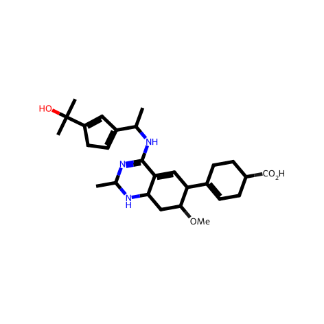 COC1CC2NC(C)N=C(NC(C)C3=CCC(C(C)(C)O)=C3)C2=CC1C1=CCC(C(=O)O)CC1